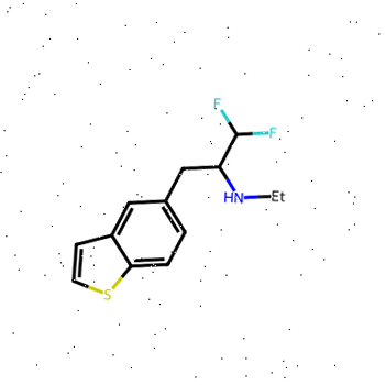 CCNC(Cc1ccc2sccc2c1)C(F)F